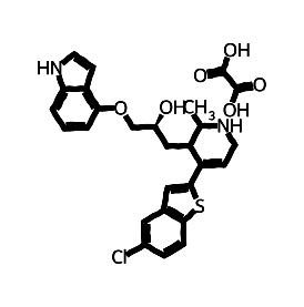 CC1NCC=C(c2cc3cc(Cl)ccc3s2)C1C[C@H](O)COc1cccc2[nH]ccc12.O=C(O)C(=O)O